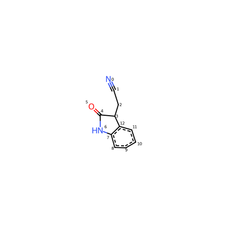 N#CCC1C(=O)Nc2ccccc21